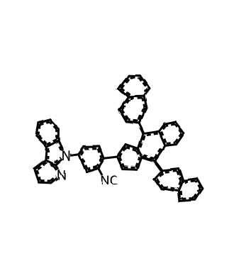 [C-]#[N+]c1cc(-n2c3ccccc3c3cccnc32)ccc1-c1ccc2c(-c3ccc4ccccc4c3)c3ccccc3c(-c3ccc4ccccc4c3)c2c1